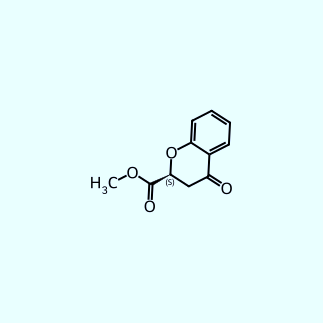 COC(=O)[C@@H]1CC(=O)c2ccccc2O1